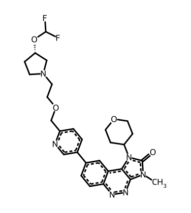 Cn1c(=O)n(C2CCOCC2)c2c3cc(-c4ccc(COCCN5CC[C@H](OC(F)F)C5)nc4)ccc3nnc21